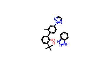 Cc1cc(-n2nccn2)ccc1-c1cccc(C(C)(C)C)c1O.c1ccc2[nH]nnc2c1